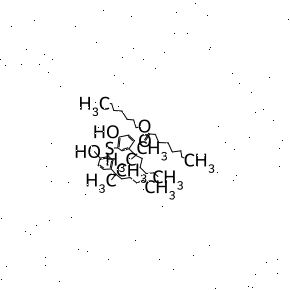 CCCCCC(C)(C)c1ccc(O)c(Sc2cc(C(C)(C)CCCCC)ccc2O)c1.CCCCCCCOC(=O)CCCCCCC